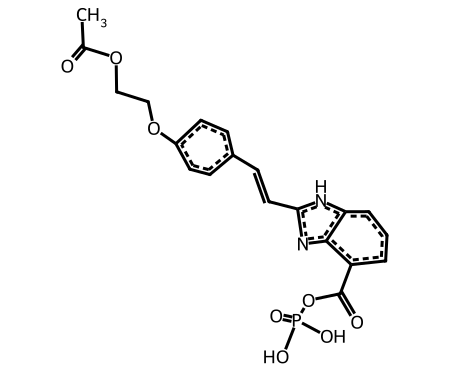 CC(=O)OCCOc1ccc(/C=C/c2nc3c(C(=O)OP(=O)(O)O)cccc3[nH]2)cc1